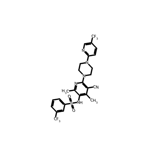 Cc1nc(N2CCN(c3ccc(C(F)(F)F)cn3)CC2)c(C#N)c(C)c1NS(=O)(=O)c1cccc(C(F)(F)F)c1